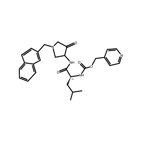 CC(C)C[C@H](NC(=O)OCc1ccncc1)C(=O)NC1CN(Cc2ccc3ccccc3c2)CC1=O